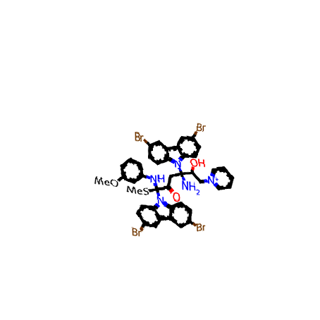 COc1cccc(NC(SC)(C(=O)CC(N)(C(O)C[n+]2ccccc2)n2c3ccc(Br)cc3c3cc(Br)ccc32)n2c3ccc(Br)cc3c3cc(Br)ccc32)c1